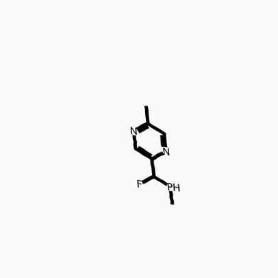 CPC(F)c1cnc(C)cn1